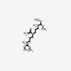 COC(OC)[SiH2]CCCN(CCC[SiH2]C(OC)OC)C(N)=O